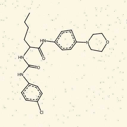 CCCCC(NC(=O)Nc1ccc(Cl)cc1)C(=O)Nc1ccc(N2CCOCC2)cc1